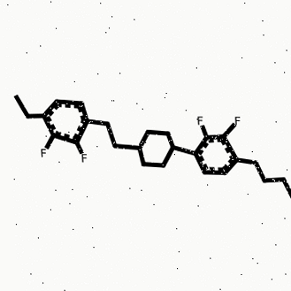 CCCCc1ccc(C2CCC(CCc3ccc(CC)c(F)c3F)CC2)c(F)c1F